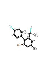 CCc1[c]c(Br)c(-c2ccc(F)cc2)c(C(F)(C(F)(F)F)C(F)(F)F)c1